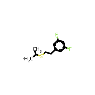 [CH2]C(C)SCCc1cc(F)cc(F)c1